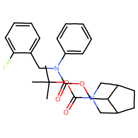 CC(C)(C)OC(=O)N1CC2CCC(C1)C2COC(=O)N(Cc1ccccc1F)c1ccccc1